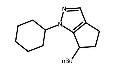 CCCCC1CCc2cnn(C3CCCCC3)c21